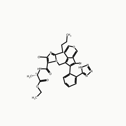 CCCCc1nc(Cl)c(C(=O)N[C@@H](C)C(=O)OCC)n1Cc1c2ccocc-2c(Br)c1-c1ccccc1-c1nnn[nH]1